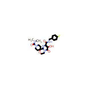 CN(C)C(=O)N1CCC2(CC1)OCCn1c2nc(C(=O)NCc2ccc(F)cc2)c(O)c1=O